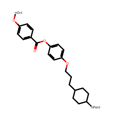 CCCCCCCCOc1ccc(C(=O)Oc2ccc(OCCCC3CCC(CCCCC)CC3)cc2)cc1